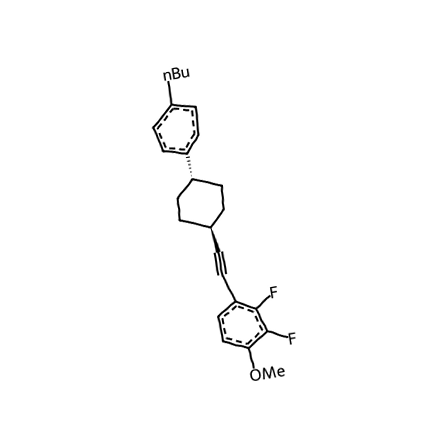 CCCCc1ccc([C@H]2CC[C@H](C#Cc3ccc(OC)c(F)c3F)CC2)cc1